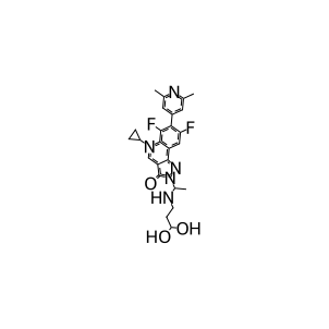 Cc1cc(-c2c(F)cc3c4nn(C(C)NCCC(O)O)c(=O)c-4cn(C4CC4)c3c2F)cc(C)n1